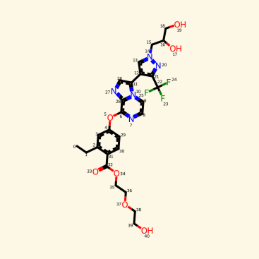 CCc1cc(Oc2nccn3c(-c4cn(CC(O)CO)nc4C(F)(F)F)cnc23)ccc1C(=O)OCCOCCO